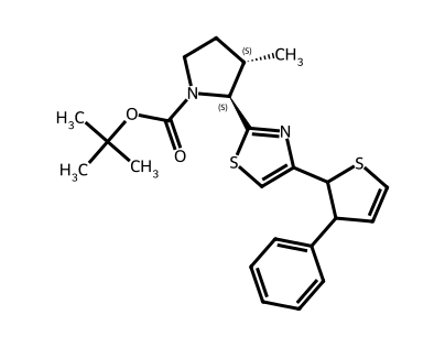 C[C@H]1CCN(C(=O)OC(C)(C)C)[C@@H]1c1nc(C2SC=CC2c2ccccc2)cs1